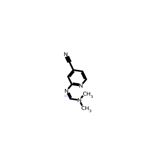 CN(C)/C=N\c1cc(C#N)ccn1